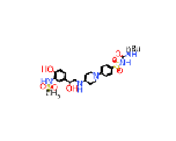 CCCCNC(=O)NS(=O)(=O)c1ccc(N2CCC(NCC(O)c3ccc(O)c(NS(C)(=O)=O)c3)CC2)cc1